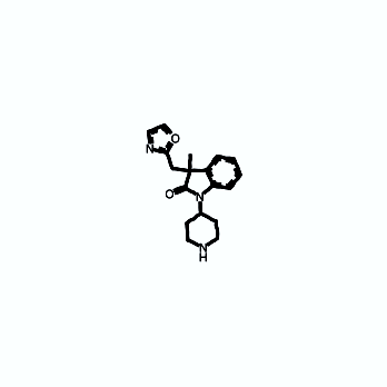 CC1(Cc2ncco2)C(=O)N(C2CCNCC2)c2ccccc21